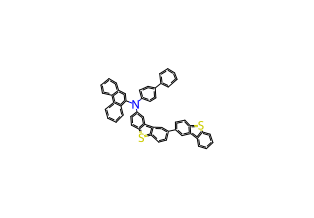 c1ccc(-c2ccc(N(c3ccc4sc5ccc(-c6ccc7sc8ccccc8c7c6)cc5c4c3)c3cc4ccccc4c4ccccc34)cc2)cc1